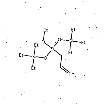 C=CC[Si](OCC)(O[Si](CC)(CC)CC)O[Si](CC)(CC)CC